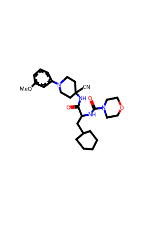 COc1cccc(N2CCC(C#N)(NC(=O)C(CC3CCCCC3)NC(=O)N3CCOCC3)CC2)c1